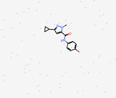 Cn1nc(C2CC2)cc1C(=O)Nc1ccc(I)cc1